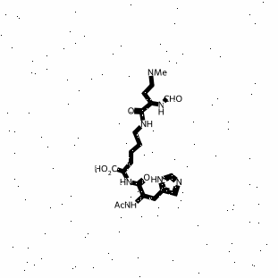 CNCCC(NC=O)C(=O)NCCCCC(NC(=O)C(Cc1cnc[nH]1)NC(C)=O)C(=O)O